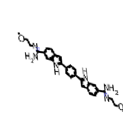 COCC/N=C(\N)c1ccc2cc(-c3ccc(-c4cc5ccc(/C(N)=N/CCOC)cc5[nH]4)cc3)[nH]c2c1